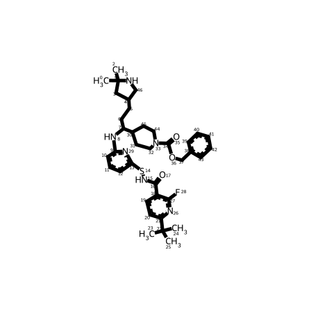 CC1(C)CC(CCC(Nc2cccc(SNC(=O)c3ccc(C(C)(C)C)nc3F)n2)C2CCN(C(=O)OCc3ccccc3)CC2)CN1